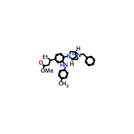 CCC(CC(=O)OC)c1ccc(N2C[C@@H]3C[C@H]2CN3Cc2ccccc2)c(Nc2ccc(C)cc2)c1